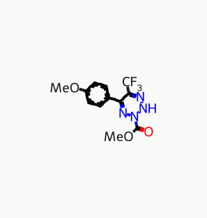 COC(=O)N1N=C(c2ccc(OC)cc2)C(C(F)(F)F)=NN1